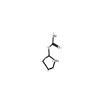 CC(C)(C)C(=O)OC1CCCN1